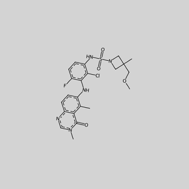 COCC1(C)CN(S(=O)(=O)Nc2ccc(F)c(Nc3ccc4ncn(C)c(=O)c4c3C)c2Cl)C1